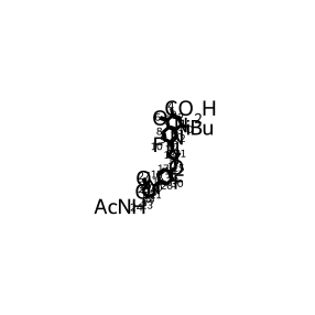 CCC(C)n1cc(C(=O)O)c(=O)c2cc(F)c(N3CC(Oc4ccc(N5C[C@H](CNC(C)=O)OC5=O)cc4F)C3)nc21